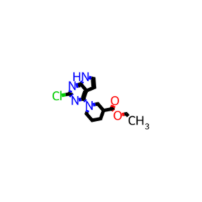 CCOC(=O)C1CCCN(c2nc(Cl)nc3[nH]ccc23)C1